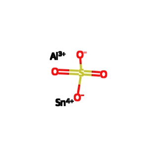 O=S(=O)([O-])[O-].[Al+3].[Sn+4]